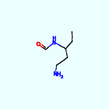 CCC(CCN)NC=O